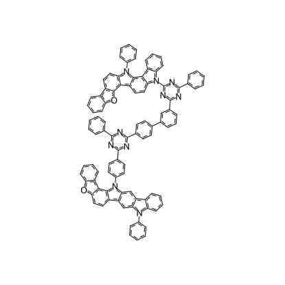 c1ccc(-c2nc(-c3ccc(-c4cccc(-c5nc(-c6ccccc6)nc(-n6c7ccccc7c7c6ccc6c8c9oc%10ccccc%10c9ccc8n(-c8ccccc8)c67)n5)c4)cc3)nc(-c3ccc(-n4c5cc6c7ccccc7n(-c7ccccc7)c6cc5c5ccc6oc7ccccc7c6c54)cc3)n2)cc1